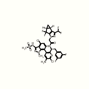 Cn1nc(NS(C)(=O)=O)c2c(Cl)ccc(-c3cc(N)c(Cl)nc3[C@H](Cc3cc(F)cc(F)c3)NC(=O)Cn3nc(C(F)F)c4c3C(F)(F)[C@@H]3C[C@H]43)c21